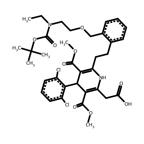 CCN(CCOCc1ccccc1CCC1=C(C(=O)OC)C(c2c(Cl)cccc2Cl)C(C(=O)OC)=C(CC(=O)O)N1)C(=O)OC(C)(C)C